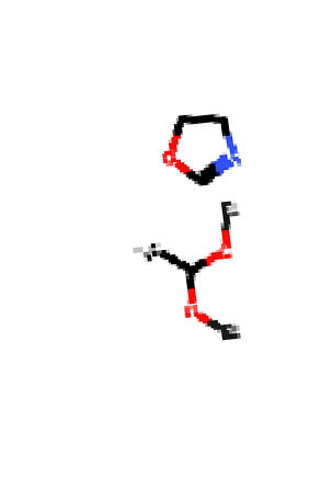 C1=NCCO1.CCOC(C)OCC